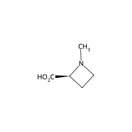 CN1CC[C@H]1C(=O)O